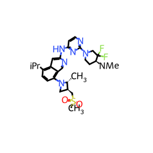 CN[C@H]1CCN(c2nccc(Nc3cc4c(C(C)C)ccc(N5C[C@H](CS(C)(=O)=O)[C@H]5C)c4cn3)n2)CC1(F)F